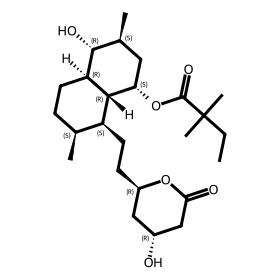 CCC(C)(C)C(=O)O[C@H]1C[C@H](C)[C@@H](O)[C@@H]2CC[C@H](C)[C@H](CC[C@@H]3C[C@@H](O)CC(=O)O3)[C@H]21